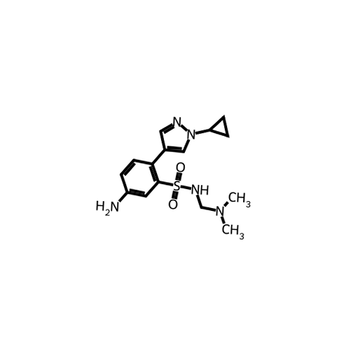 CN(C)CNS(=O)(=O)c1cc(N)ccc1-c1cnn(C2CC2)c1